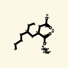 CCCCC(CC)CC(CC(=O)[O-])C(=O)[O-].[Na+].[Na+]